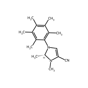 Cc1c(C)c(C)c(N2C=C(C#N)N(C)[C@@H]2C)c(C)c1C